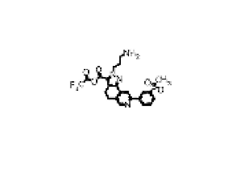 CS(=O)(=O)c1cccc(-c2cc3c(cn2)CCc2c-3nn(CCCN)c2C(=O)OC(=O)C(F)(F)F)c1